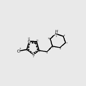 Clc1nc(CC2CCCNC2)co1